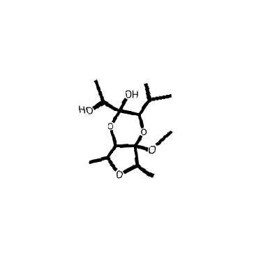 COC12OC(C(C)C)C(O)(C(C)O)OC1C(C)OC2C